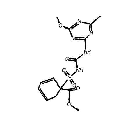 COC(=O)C1(S(=O)(=O)NC(=O)Nc2nc(C)nc(OC)n2)C=CC=CC1